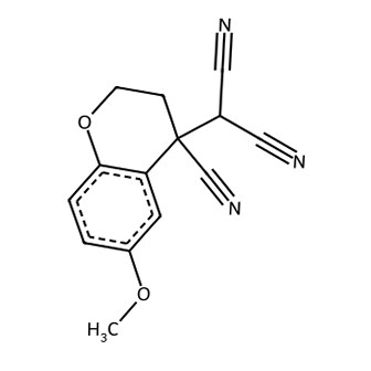 COc1ccc2c(c1)C(C#N)(C(C#N)C#N)CCO2